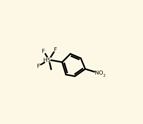 C[SH](F)(F)(F)c1ccc([N+](=O)[O-])cc1